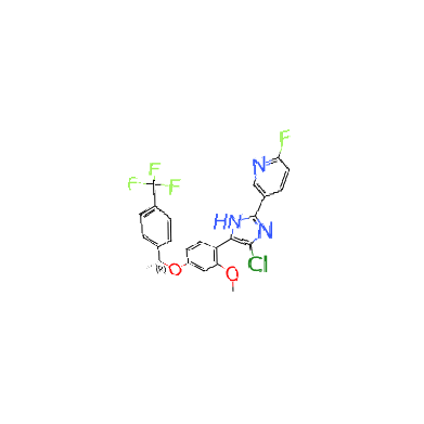 COc1cc(O[C@H](C)c2ccc(C(F)(F)F)cc2)ccc1-c1[nH]c(-c2ccc(F)nc2)nc1Cl